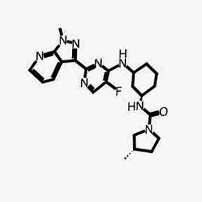 C[C@H]1CCN(C(=O)N[C@@H]2CCCC(Nc3nc(-c4nn(C)c5ncccc45)ncc3F)C2)C1